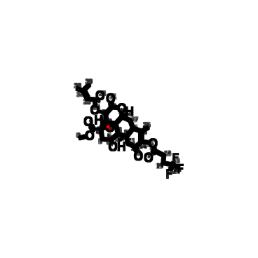 COC(=O)[C@@]12C[C@H](O)C3[C@@]4(C)CC(=O)C(OC(=O)CCC(F)(F)F)=C(C)C4C[C@H]4OC(=O)[C@H](OC(=O)C=C(C)C)[C@@H]1[C@@]34CO2